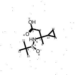 CC(CC(=O)O)(N[S+]([O-])C(C)(C)C)C1CC1